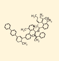 C=C(/C=C(\N=C(/C)c1cccc(C)c1C(/C=C\CC)=C(C)C)c1cccc(C)c1-c1cc(C2=CC(c3ccc(-c4ccccc4)cc3)=CCC2C)ccc1C)c1ccccc1